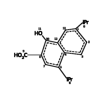 CC(C)c1ccc2c(C(C)C)cc(C(=O)O)c(O)c2c1